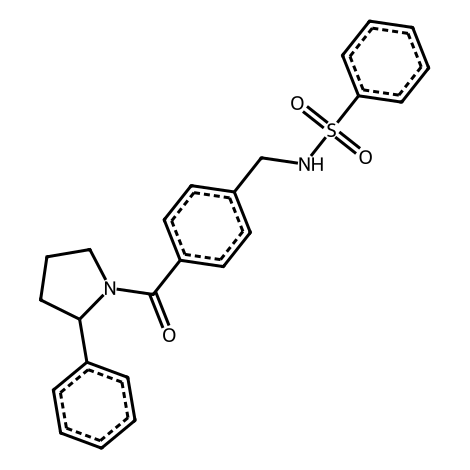 O=C(c1ccc(CNS(=O)(=O)c2ccccc2)cc1)N1CCCC1c1ccccc1